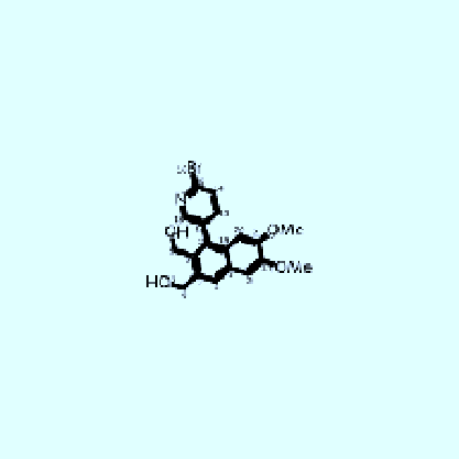 COc1cc2cc(CO)c(CO)c(-c3ccc(Br)nc3)c2cc1OC